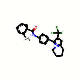 Cc1ccccc1C(=O)Nc1ccc(-c2c(C(F)(F)F)cc3n2CCCC3)cc1